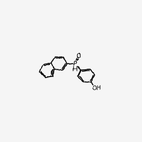 O=[PH](c1ccc(O)cc1)c1ccc2ccccc2c1